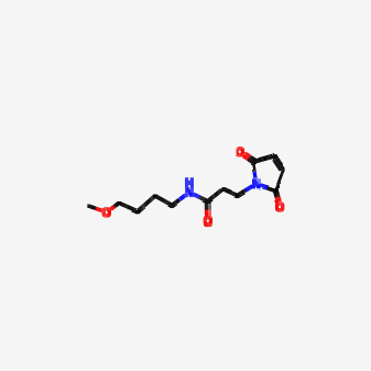 COCCCCNC(=O)CCN1C(=O)C=CC1=O